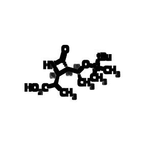 CC(C(=O)O)[C@H]1NC(=O)[C@@H]1[C@@H](C)O[Si](C)(C)C(C)(C)C